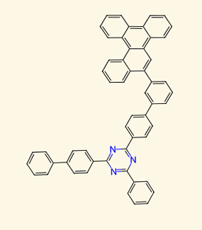 c1ccc(-c2ccc(-c3nc(-c4ccccc4)nc(-c4ccc(-c5cccc(-c6cc7c8ccccc8c8ccccc8c7c7ccccc67)c5)cc4)n3)cc2)cc1